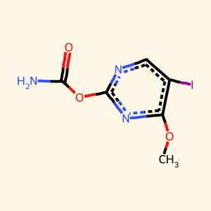 COc1nc(OC(N)=O)ncc1I